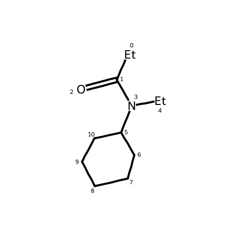 CCC(=O)N(CC)C1CCCCC1